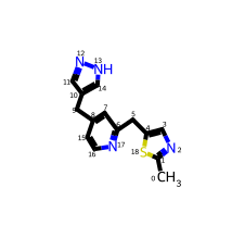 Cc1ncc(Cc2cc(Cc3cn[nH]c3)ccn2)s1